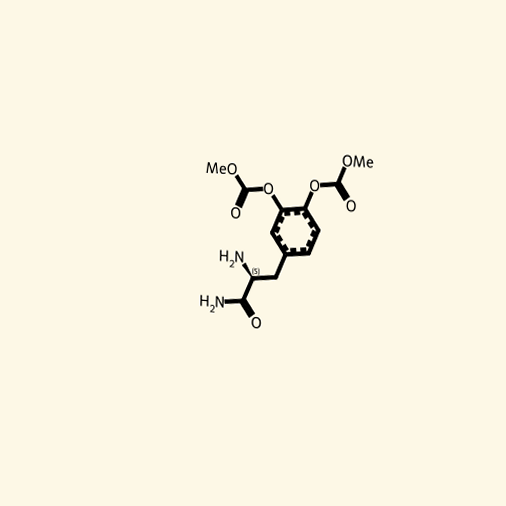 COC(=O)Oc1ccc(C[C@H](N)C(N)=O)cc1OC(=O)OC